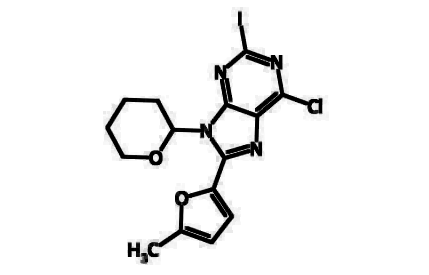 Cc1ccc(-c2nc3c(Cl)nc(I)nc3n2C2CCCCO2)o1